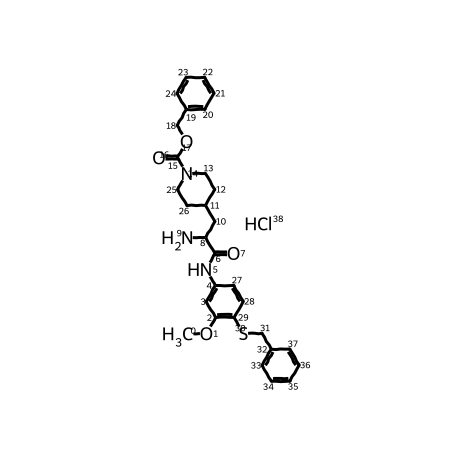 COc1cc(NC(=O)C(N)CC2CCN(C(=O)OCc3ccccc3)CC2)ccc1SCc1ccccc1.Cl